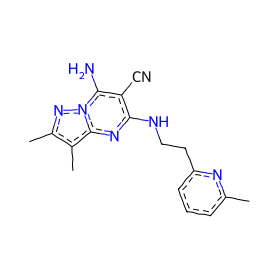 Cc1cccc(CCNc2nc3c(C)c(C)nn3c(N)c2C#N)n1